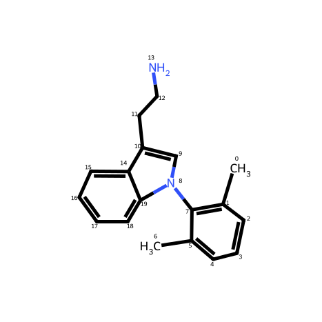 Cc1cccc(C)c1-n1cc(CCN)c2ccccc21